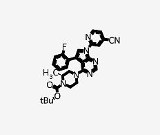 C[C@@H]1CN(c2ncnc3c2c(-c2ccccc2F)cn3-c2cc(C#N)ccn2)CCN1C(=O)OC(C)(C)C